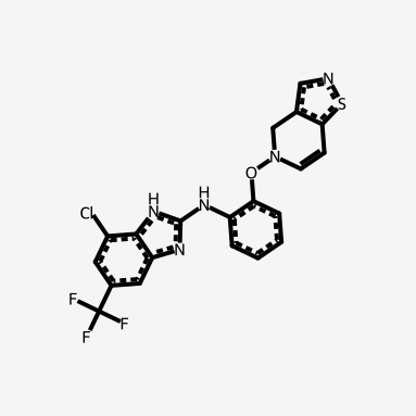 FC(F)(F)c1cc(Cl)c2[nH]c(Nc3ccccc3ON3C=Cc4sncc4C3)nc2c1